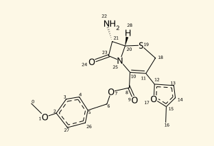 COc1ccc(COC(=O)C2=C(c3ccc(C)o3)CS[C@H]3[C@@H](N)C(=O)N23)cc1